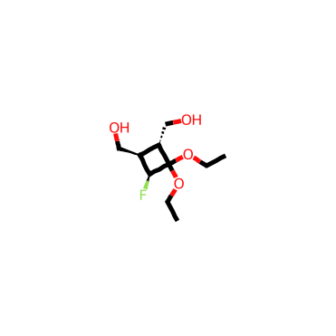 CCOC1(OCC)[C@@H](F)[C@@H](CO)[C@@H]1CO